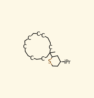 CC(C)[C@H]1CCSC(C2(C)CCCCCCCCCCCCCCC2)C1